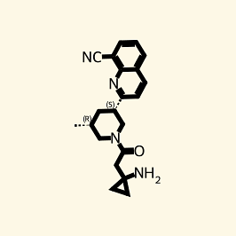 C[C@@H]1C[C@H](c2ccc3cccc(C#N)c3n2)CN(C(=O)CC2(N)CC2)C1